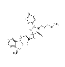 COCCCn1c(-c2ccncc2)nn(CN2CCN(c3ccccc3OC)CC2)c1=S